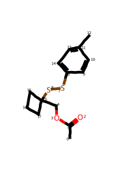 CC(=O)OCC1(SSc2ccc(C)cc2)CCC1